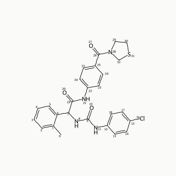 Cc1ccccc1C(NC(=O)Nc1ccc(Cl)cc1)C(=O)Nc1ccc(C(=O)N2CCSC2)cc1